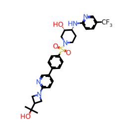 CC(C)(O)C1CN(c2ccc(-c3ccc(S(=O)(=O)N4CC[C@@H](Nc5ccc(C(F)(F)F)cn5)[C@@H](O)C4)cc3)cn2)C1